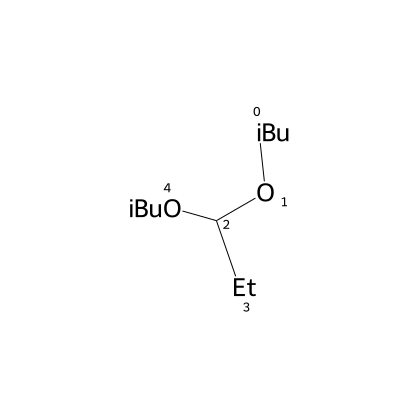 CCC(C)OC(CC)OCC(C)C